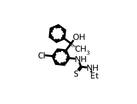 CCNC(=S)Nc1ccc(Cl)cc1[C@](C)(O)c1ccccc1